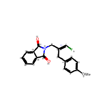 COc1ccc(C/C(=C\F)CN2C(=O)c3ccccc3C2=O)cc1